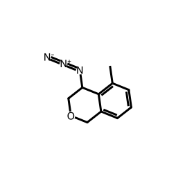 Cc1cccc2c1C(N=[N+]=[N-])COC2